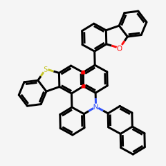 c1ccc(N(c2ccc(-c3cccc4c3oc3ccccc34)cc2)c2ccc3ccccc3c2)c(-c2cccc3sc4ccccc4c23)c1